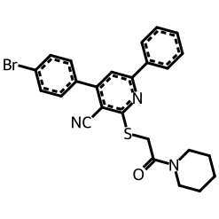 N#Cc1c(-c2ccc(Br)cc2)cc(-c2ccccc2)nc1SCC(=O)N1CCCCC1